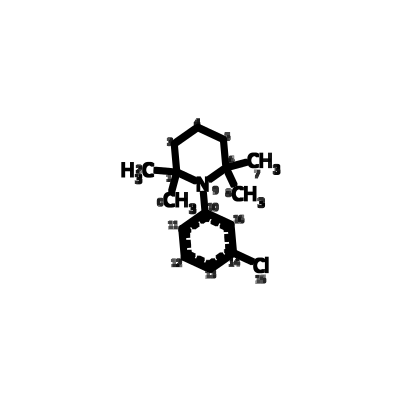 CC1(C)CCCC(C)(C)N1c1cccc(Cl)c1